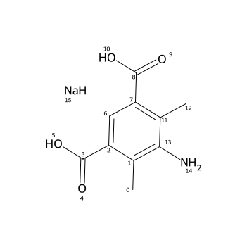 Cc1c(C(=O)O)cc(C(=O)O)c(C)c1N.[NaH]